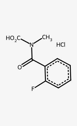 CN(C(=O)O)C(=O)c1ccccc1F.Cl